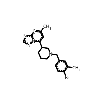 Cc1cc(C2CCCN(Cc3ccc(Br)c(C)c3)C2)n2ncnc2n1